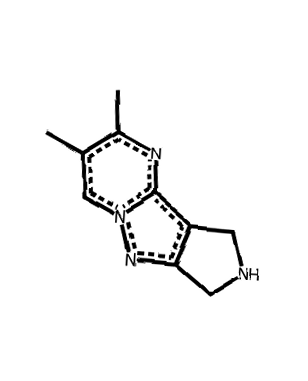 Cc1cn2nc3c(c2nc1C)CNC3